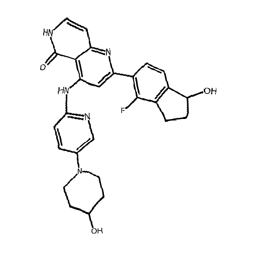 O=c1[nH]ccc2nc(-c3ccc4c(c3F)CCC4O)cc(Nc3ccc(N4CCC(O)CC4)cn3)c12